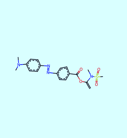 C=C(OC(=O)c1ccc(/N=N/c2ccc(N(C)C)cc2)cc1)N(C)S(C)(=O)=O